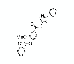 COc1cc(C(=O)Nc2nnc(-c3ccncc3)s2)ccc1OC1COc2ccccc21